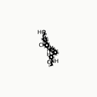 C=CC(=O)Nc1cccc(-c2cccc3cnc(Nc4ccc(N5CCN(CCO)CC5)c(Cl)c4)nc23)c1